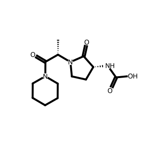 C[C@@H](C(=O)N1CCCCC1)N1CC[C@@H](NC(=O)O)C1=O